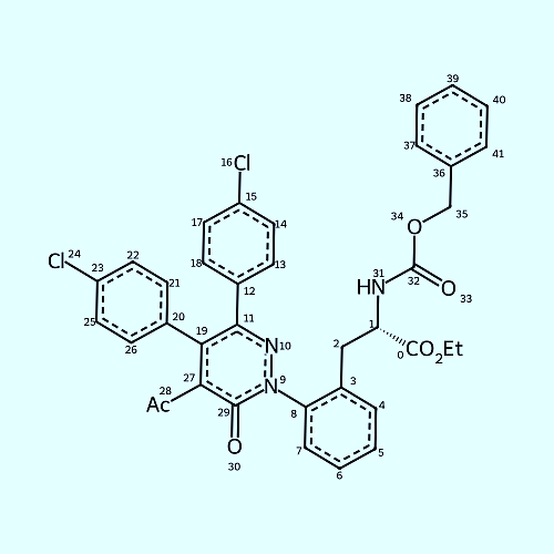 CCOC(=O)[C@H](Cc1ccccc1-n1nc(-c2ccc(Cl)cc2)c(-c2ccc(Cl)cc2)c(C(C)=O)c1=O)NC(=O)OCc1ccccc1